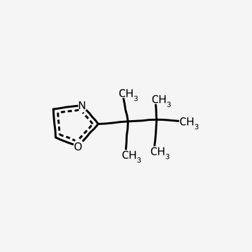 CC(C)(C)C(C)(C)c1ncco1